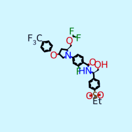 CCS(=O)(=O)c1ccc([C@H](CO)NC(=O)c2ccc(N3CC(Oc4ccc(C(F)(F)F)cc4)C[C@H]3COC(F)F)cc2F)cc1